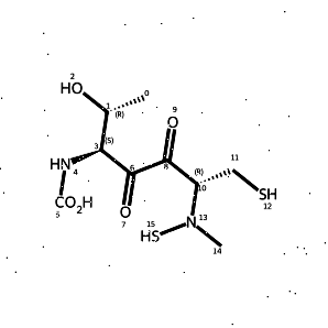 C[C@@H](O)[C@H](NC(=O)O)C(=O)C(=O)[C@H](CS)N(C)S